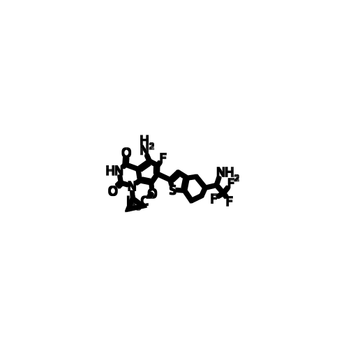 COc1c(-c2cc3c(s2)CCC(C(N)C(F)(F)F)C3)c(F)c(N)c2c(=O)[nH]c(=O)n(C3CC3)c12